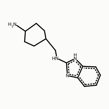 NC1CCC(CNc2nc3ccccc3[nH]2)CC1